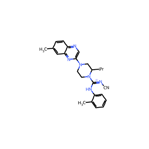 Cc1ccc2ncc(N3CCN(/C(=N/C#N)Nc4ccccc4C)C(C(C)C)C3)nc2c1